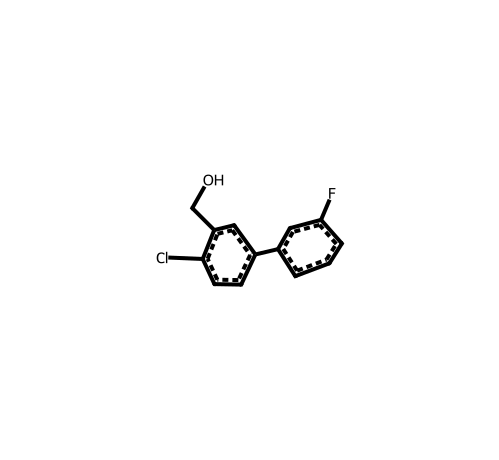 OCc1cc(-c2cccc(F)c2)ccc1Cl